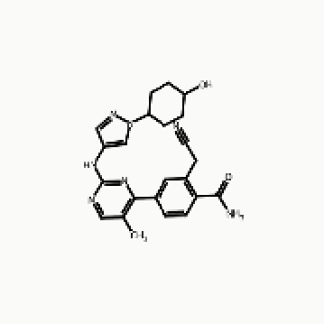 Cc1cnc(Nc2cnn(C3CCC(O)CC3)c2)nc1-c1ccc(C(N)=O)c(CC#N)c1